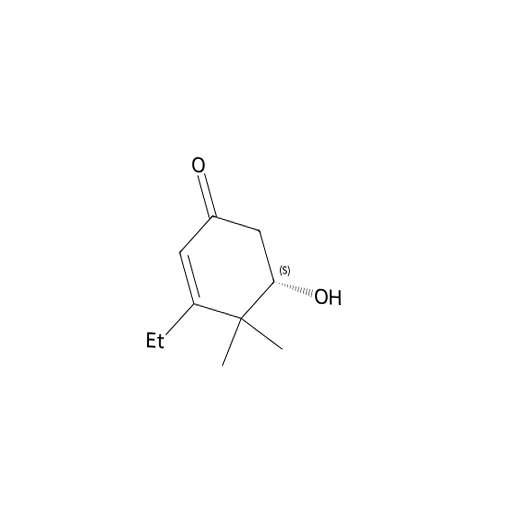 CCC1=CC(=O)C[C@H](O)C1(C)C